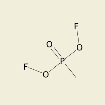 CP(=O)(OF)OF